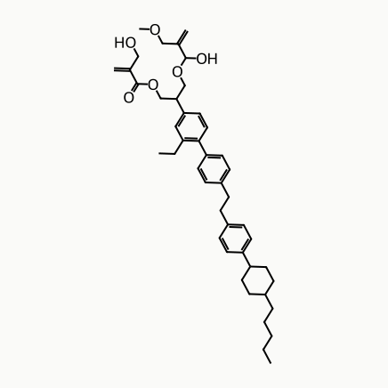 C=C(CO)C(=O)OCC(COC(O)C(=C)COC)c1ccc(-c2ccc(CCc3ccc(C4CCC(CCCCC)CC4)cc3)cc2)c(CC)c1